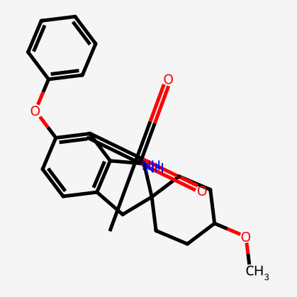 COC1CCC2(CC1)Cc1ccc(Oc3ccccc3)cc1C21NC(=O)NC1=O